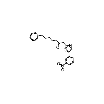 O=C(CCCCCc1ccccc1)Cc1ncc(-c2cc([N+](=O)[O-])ccn2)o1